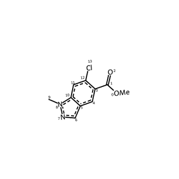 COC(=O)c1cc2cnn(C)c2cc1Cl